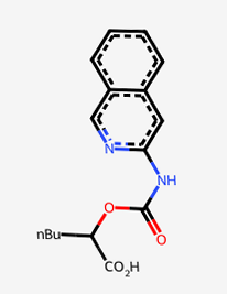 CCCCC(OC(=O)Nc1cc2ccccc2cn1)C(=O)O